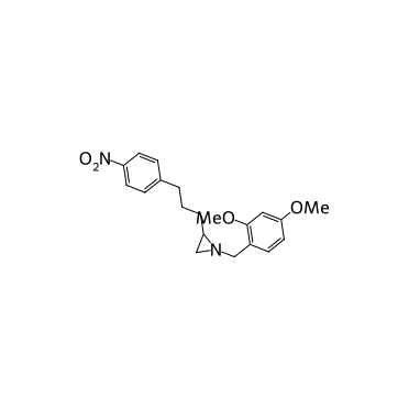 COc1ccc(CN2CC2CCCc2ccc([N+](=O)[O-])cc2)c(OC)c1